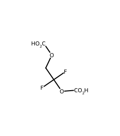 O=C(O)OCC(F)(F)OC(=O)O